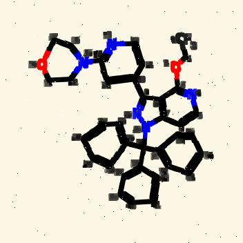 FC(F)(F)COc1nccc2c1c(-c1ccnc(N3CCOCC3)c1)nn2C(c1ccccc1)(c1ccccc1)c1ccccc1